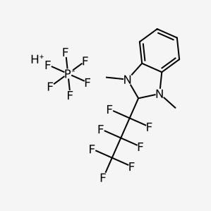 CN1c2ccccc2N(C)C1C(F)(F)C(F)(F)C(F)(F)F.F[P-](F)(F)(F)(F)F.[H+]